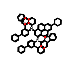 c1ccc(-c2ccc(N(c3cc(N(c4ccc(-c5ccccc5)cc4-c4ccccc4)c4cccc5c4oc4ccccc45)c4ccc5cc(C6CCCCC6)cc6ccc3c4c65)c3cccc4c3oc3ccccc34)c(-c3ccccc3)c2)cc1